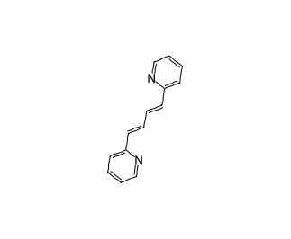 C(C=Cc1ccccn1)=Cc1ccccn1